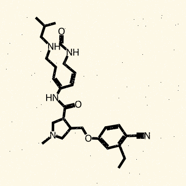 CCc1cc(OCC2CN(C)CC2C(=O)NC(/C=C\CNC=O)=C/CCNCC(C)C)ccc1C#N